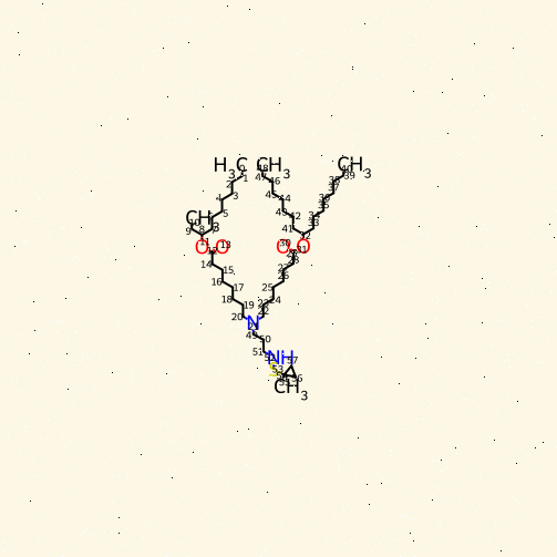 CCCCCCCCC(CC)OC(=O)CCCCCCCN(CCCCCCCC(=O)OC(CCCCCCCC)CCCCCCCC)CCCNSC1(C)CC1